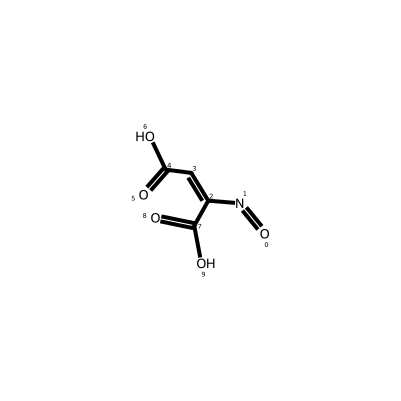 O=N/C(=C/C(=O)O)C(=O)O